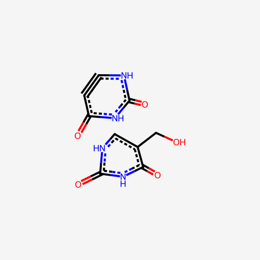 O=c1[nH]cc(CO)c(=O)[nH]1.O=c1c#c[nH]c(=O)[nH]1